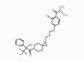 CN(C)C(=O)c1ccc(OCCC[C@H]2CC23CCN(C(=O)C(O)(c2ccccc2)C(F)(F)F)CC3)nc1Cl